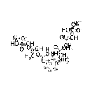 CC(=O)O.CC(=O)O.CC(=O)O.CC(=O)O.NC1CCCCC1N.O=P([O-])(O)O.O=P([O-])([O-])O.[K+].[K+].[K+]